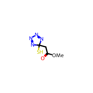 COC(=O)CC1(S)N=NN=N1